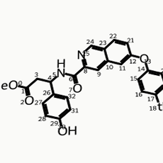 COC(=O)CC(NC(=O)c1cc2cc(Oc3ccc(C(C)(C)C)cc3)ccc2cn1)c1ccc(O)cc1